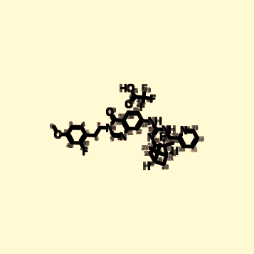 COc1ccc(CCn2cnc3cc(NC(=NC4C[C@@H]5C[C@H]([C@@H]4C)C5(C)C)NCc4ccccn4)ccc3c2=O)c(F)c1.O=C(O)C(F)(F)F